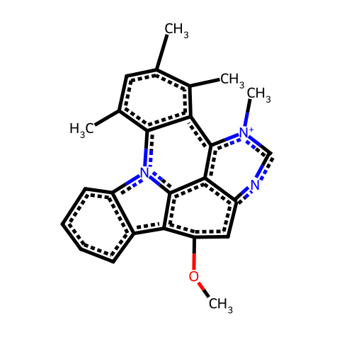 COc1cc2nc[n+](C)c3c4c(C)c(C)cc(C)c4n4c5ccccc5c1c4c23